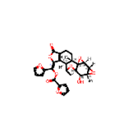 CC(C)[C@]12O[C@H]1[C@@H]1O[C@@]13[C@@]1(C)CCC4=C(/C(=C(\OC(=O)c5ccco5)c5ccco5)OC4=O)[C@@H]1C1C[C@@]3(O1)[C@@H]2O